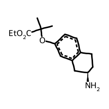 CCOC(=O)C(C)(C)Oc1ccc2c(c1)C[C@H](N)CC2